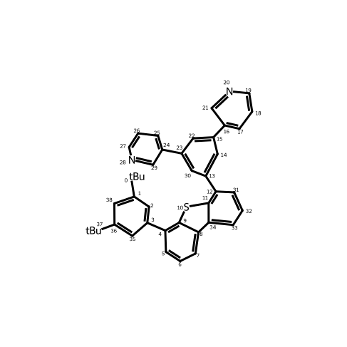 CC(C)(C)c1cc(-c2cccc3c2sc2c(-c4cc(-c5cccnc5)cc(-c5cccnc5)c4)cccc23)cc(C(C)(C)C)c1